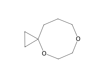 C1COCCOC2(C1)CC2